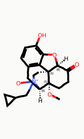 CO[C@@]12CCC(=O)[C@@H]3Oc4c(O)ccc5c4[C@@]31CC[N+]([O-])(CC1CC1)[C@@H]2C5